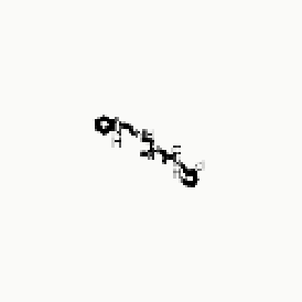 C=NN(/C=C(\C)C(=O)NCc1ncccc1Cl)CCNCCc1nc2ccccc2[nH]1